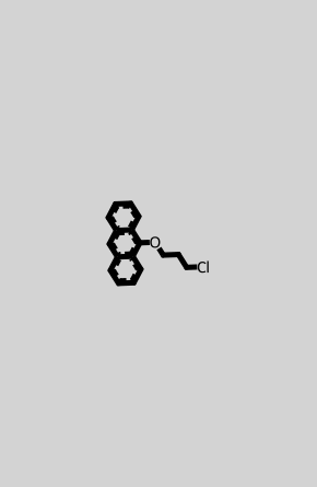 ClCCCOc1c2ccccc2cc2ccccc12